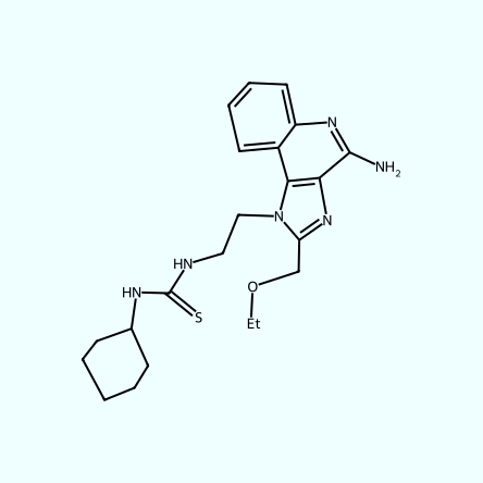 CCOCc1nc2c(N)nc3ccccc3c2n1CCNC(=S)NC1CCCCC1